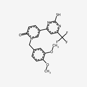 COc1ccc(Cn2cc(-c3cc(C(F)(F)F)nc(S)n3)ccc2=O)cc1OC